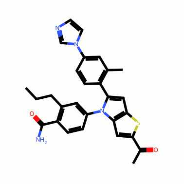 CCCc1cc(-n2c(-c3ccc(-n4ccnc4)cc3C)cc3sc(C(C)=O)cc32)ccc1C(N)=O